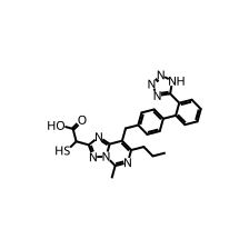 CCCc1nc(C)n2nc(C(S)C(=O)O)nc2c1Cc1ccc(-c2ccccc2-c2nnn[nH]2)cc1